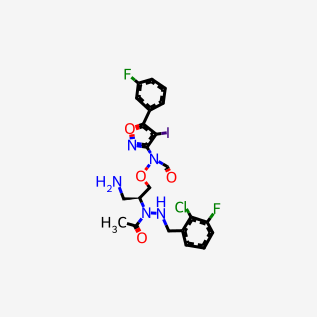 CC(=O)N(NCc1cccc(F)c1Cl)[C@@H](CN)CON(C=O)c1noc(-c2cccc(F)c2)c1I